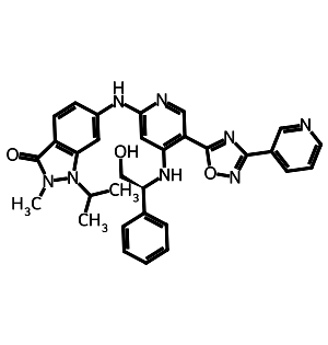 CC(C)n1c2cc(Nc3cc(N[C@H](CO)c4ccccc4)c(-c4nc(-c5cccnc5)no4)cn3)ccc2c(=O)n1C